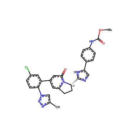 CC(C)(C)OC(=O)Nc1ccc(-c2cnc([C@@H]3CCc4cc(-c5cc(Cl)ccc5-n5cc(C#N)nn5)cc(=O)n43)[nH]2)cc1